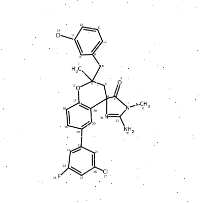 CN1C(=O)C2(CC(C)(Cc3cccc(Cl)c3)Oc3ccc(-c4cc(F)cc(Cl)c4)cc32)N=C1N